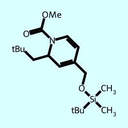 COC(=O)N1C=CC(CO[Si](C)(C)C(C)(C)C)=CC1CC(C)(C)C